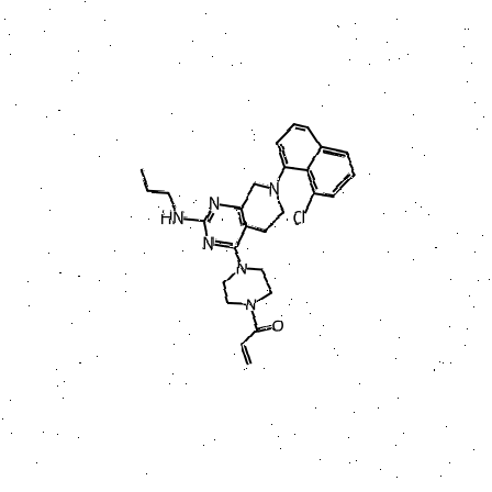 C=CC(=O)N1CCN(c2nc(NCCC)nc3c2CCN(c2cccc4cccc(Cl)c24)C3)CC1